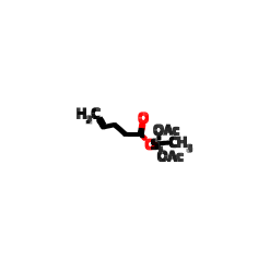 C=CCCC(=O)O[Si](C)(OC(C)=O)OC(C)=O